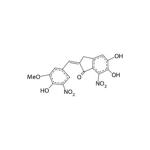 COc1cc(/C=C2/Cc3cc(O)c(O)c([N+](=O)[O-])c3C2=O)cc([N+](=O)[O-])c1O